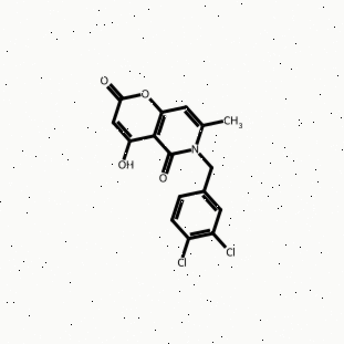 Cc1cc2oc(=O)cc(O)c2c(=O)n1Cc1ccc(Cl)c(Cl)c1